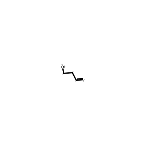 [CH]=CCCO